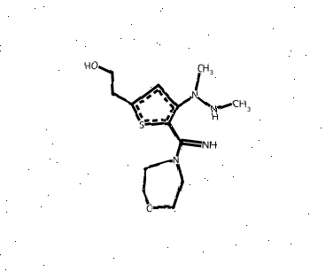 CNN(C)c1cc(CCO)sc1C(=N)N1CCOCC1